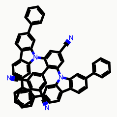 N#Cc1cc(C#N)cc(-c2c(-n3c4cc(-c5ccccc5)ccc4c4ccc(-c5ccccc5)cc43)cc(C#N)cc2-n2c3cc(-c4ccccc4)ccc3c3ccc(-c4ccccc4)cc32)c1